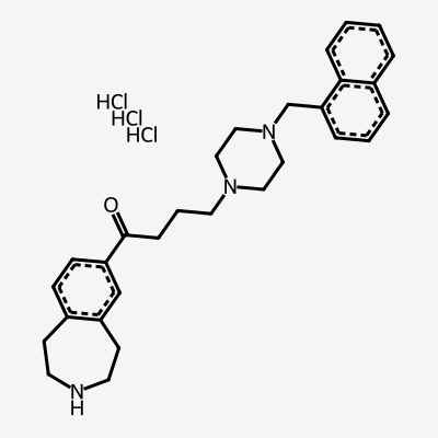 Cl.Cl.Cl.O=C(CCCN1CCN(Cc2cccc3ccccc23)CC1)c1ccc2c(c1)CCNCC2